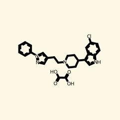 Clc1ccc2[nH]cc(C3CCN(CCc4cnn(-c5ccccc5)c4)CC3)c2c1.O=C(O)C(=O)O